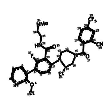 CCOc1ncccc1-c1ccc(N2CCN(C(=O)c3ccc(C(F)(F)F)cc3C#N)C[C@H]2CC)c(C(=O)NCCNC)c1F